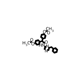 CC(=O)Oc1ccc(C(C(=O)Nc2cncc(Cc3ccccc3)n2)c2ccc(OC(C)=O)cc2)cc1